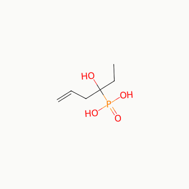 C=CCC(O)(CC)P(=O)(O)O